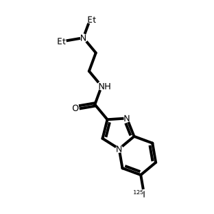 CCN(CC)CCNC(=O)c1cn2cc([125I])ccc2n1